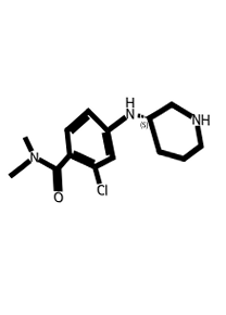 CN(C)C(=O)c1ccc(N[C@H]2CCCNC2)cc1Cl